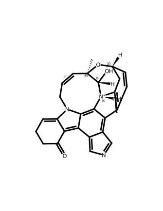 CN[N@@+]12C3=C4C=C[C@H](C3)O[C@](C)(/C=C\Cn3c5c(c6c7c(c4c1c63)C=NC=7)C(=O)CCC=5)[C@@H]2O